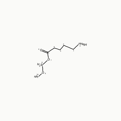 CCCCCCCCCCCC(=O)O[SiH2]OCCC